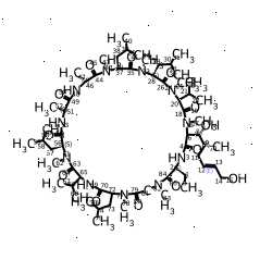 CC[C@@H]1NC(=O)C([C@H](O)[C@H](C)C/C=C/CO)N(C)C(=O)C(C(C)C)N(C)C(=O)[C@H](CC(C)C)N(C)C(=O)[C@H](CC(C)C)N(C)C(=O)[C@@H](C)NC(=O)[C@H](C)NC(=O)[C@H](CC(C)C)N(C)C(=O)C(C(C)C)NC(=O)C(CC(C)C)N(C)C(=O)CN(C)C1=O